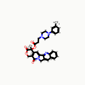 CCC1(OC(=O)CCN2CCN(c3cccc(C(F)(F)F)c3)CC2)C(=O)OCc2c1cc1n(c2=O)Cc2cc3ccccc3nc2-1